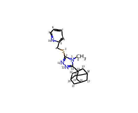 Cn1c(SCc2ccccn2)nnc1C12CC3CC(CC(C3)C1)C2